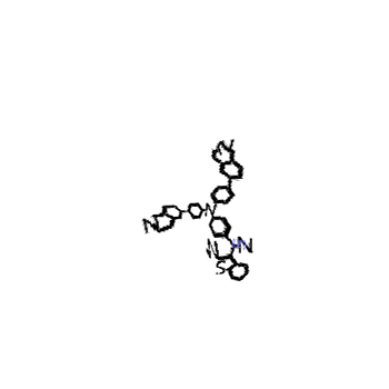 C=Nc1sc2ccccc2c1/C(=N\C)c1ccc(N(c2ccc(-c3ccc4cnccc4c3)cc2)c2ccc(-c3ccc4cnccc4c3)cc2)cc1